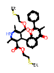 CCSCCOC(=O)C1=C(C)NC(C)=C(C(=O)OCCSCC)C1c1cccc2c(=O)c(C)c(-c3ccccc3)oc12